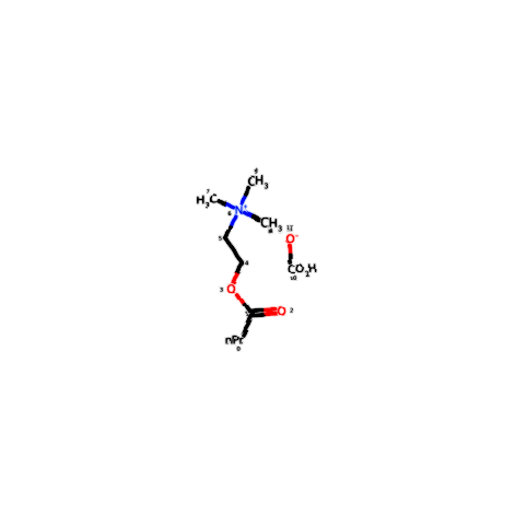 CCCC(=O)OCC[N+](C)(C)C.O=C([O-])O